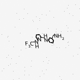 NCc1cccc(NCc2cccc(NCC(F)(F)F)n2)c1